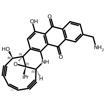 CC(C)[C@@]12O[C@]13c1cc(O)c4c(c1N[C@H]2C#C/C=C\C#C[C@H]3O)C(=O)c1cc(CN)ccc1C4=O